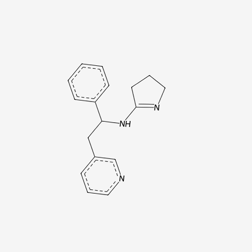 c1ccc(C(Cc2cccnc2)NC2=NCCC2)cc1